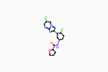 O=C(Nc1ccc(Cl)c(-c2cn3cc(Cl)cnc3n2)c1)c1ccco1